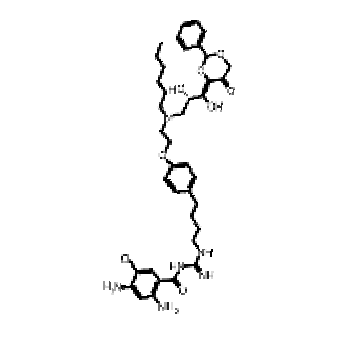 CCCCCCN(CCOc1ccc(CCCCNC(=N)NC(=O)c2cc(Cl)c(N)cc2N)cc1)C[C@H](O)/C(O)=C1\OC(c2ccccc2)OCC1=O